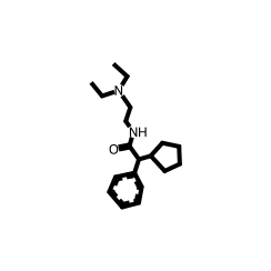 CCN(CC)CCNC(=O)C(c1ccccc1)C1CCCC1